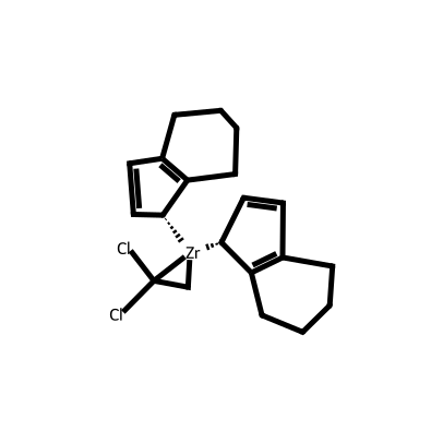 Cl[C]1(Cl)[CH2][Zr]1([C@@H]1C=CC2=C1CCCC2)[C@@H]1C=CC2=C1CCCC2